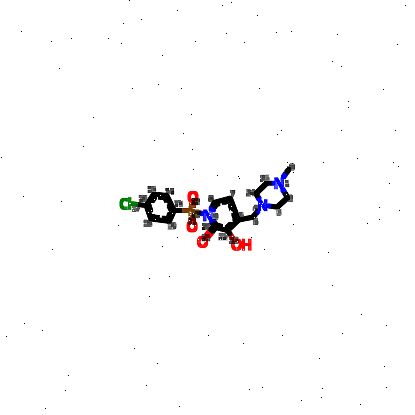 CN1CCN(Cc2ccn(S(=O)(=O)c3ccc(Cl)cc3)c(=O)c2O)CC1